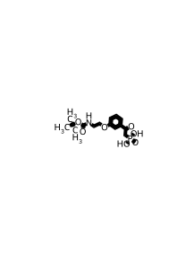 CC(C)(C)OC(=O)NCCOc1cccc(C(=O)CP(=O)(O)O)c1